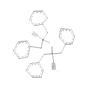 C#CC(Cc1ccccc1)(Cc1ccccc1)OC(C#C)(Cc1ccccc1)Cc1ccccc1